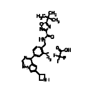 Cc1cc(-c2ncnn3cc(C4CNC4)cc23)ccc1CNC(=O)c1noc(C(C)(C)C)n1.O=C(O)C(F)(F)F